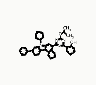 CC(C)Oc1nc(-c2ccccc2O)nc(-c2cc3c(c4ccccc24)c2ccc(-c4ccccc4)cc2n3-c2ccccc2)n1